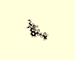 CSCC(=O)N(C)[C@H]1Cc2cccc(C(=O)OCOC(=O)C(C)(C)C)c2OB1O